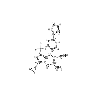 CC(C)(C)c1nn(C2CC2)c2c1C(c1ccc(-n3cccn3)cc1)C(C#N)=C(N)O2